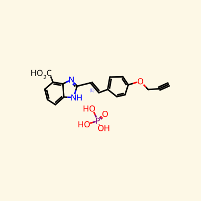 C#CCOc1ccc(/C=C/c2nc3c(C(=O)O)cccc3[nH]2)cc1.O=P(O)(O)O